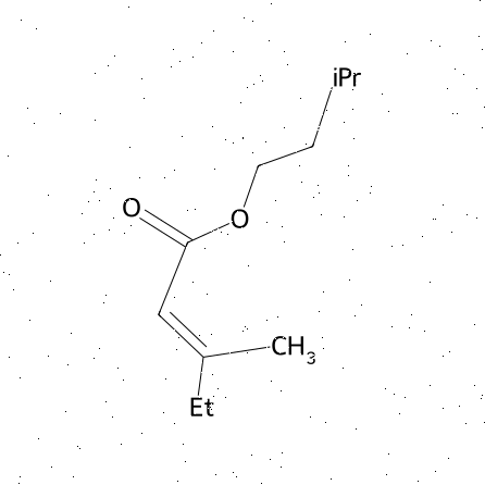 CCC(C)=CC(=O)OCCC(C)C